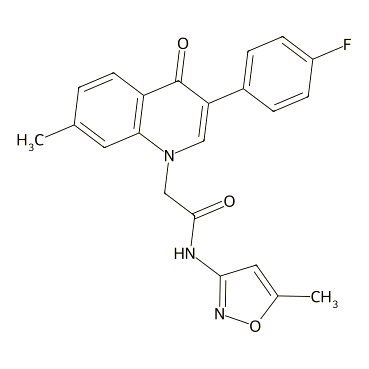 Cc1ccc2c(=O)c(-c3ccc(F)cc3)cn(CC(=O)Nc3cc(C)on3)c2c1